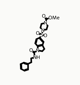 COC(=O)N1CCN(S(=O)(=O)c2ccc3c(c2)CCN3C(=O)NCCc2ccccc2)CC1